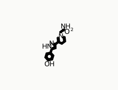 NC(=O)CN1C=CCC(c2cc(-c3ccc(O)cc3)[nH]n2)=C1